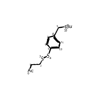 CC(=O)CCSSc1ccc(CC(C)(C)C)cc1